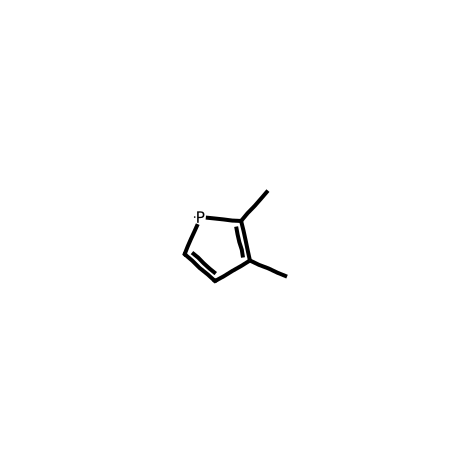 CC1=C(C)[P]C=C1